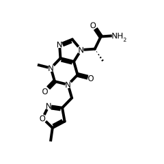 Cc1cc(Cn2c(=O)c3c(ncn3[C@@H](C)C(N)=O)n(C)c2=O)no1